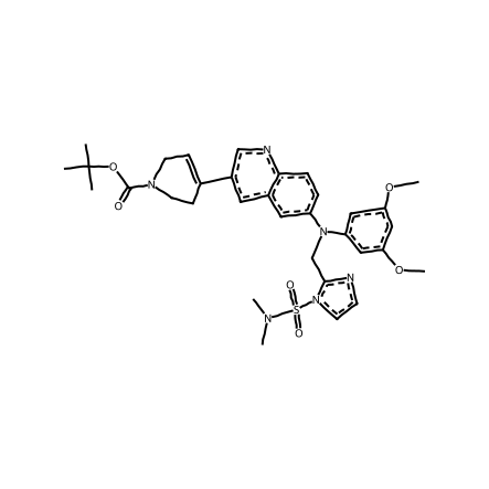 COc1cc(OC)cc(N(Cc2nccn2S(=O)(=O)N(C)C)c2ccc3ncc(C4=CCN(C(=O)OC(C)(C)C)CC4)cc3c2)c1